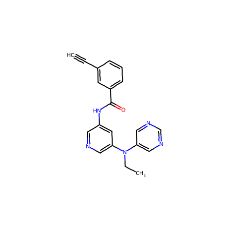 C#Cc1cccc(C(=O)Nc2cncc(N(CC)c3cncnc3)c2)c1